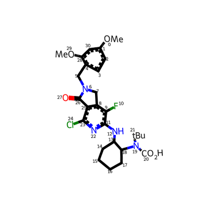 COc1ccc(CN2Cc3c(F)c(NC4CCCCC4N(C(=O)O)C(C)(C)C)nc(Cl)c3C2=O)c(OC)c1